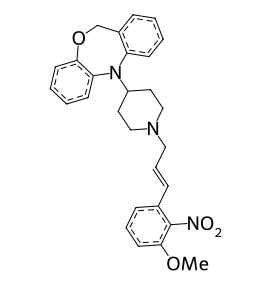 COc1cccc(C=CCN2CCC(N3c4ccccc4COc4ccccc43)CC2)c1[N+](=O)[O-]